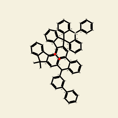 CC1(C)c2ccccc2-c2ccc(C(c3cccc(-c4ccccc4)c3)c3ccccc3-c3ccc4c(c3)C3(c5ccccc5-4)c4ccccc4N(c4ccccc4)c4ccccc43)cc21